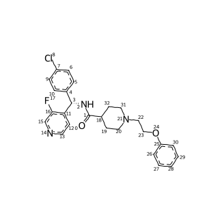 O=C(N[C@@H](c1ccc(Cl)cc1)c1ccncc1F)C1CCN(CCOc2ccccc2)CC1